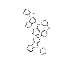 CC1(C)c2ccccc2-c2ccc(N(c3ccccc3-c3ccccc3)c3cccc4oc5ccc(-c6ccc7c8ccccc8n(-c8ccccc8)c7c6)cc5c34)cc21